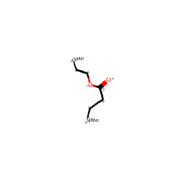 CNCCC(=O)OCCOC